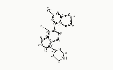 [O-][n+]1cc(-c2ncc3c(N4CCNCC4)ncnc3c2F)c2ccccc2c1